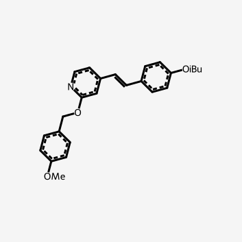 COc1ccc(COc2cc(C=Cc3ccc(OCC(C)C)cc3)ccn2)cc1